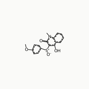 COc1ccc([S+]([O-])c2c(O)c3ccccc3n(C)c2=O)cc1